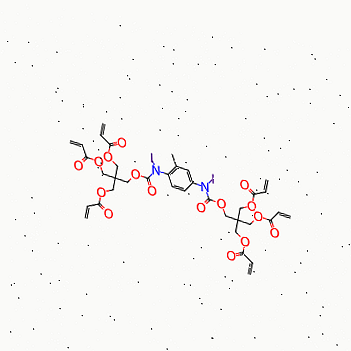 C=CC(=O)OCC(COC(=O)C=C)(COC(=O)C=C)COC(=O)N(I)c1ccc(N(I)C(=O)OCC(COC(=O)C=C)(COC(=O)C=C)COC(=O)C=C)c(C)c1